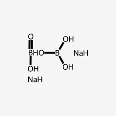 O=BO.OB(O)O.[NaH].[NaH]